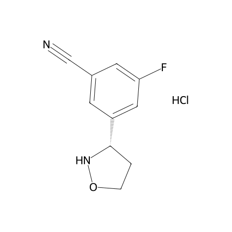 Cl.N#Cc1cc(F)cc([C@@H]2CCON2)c1